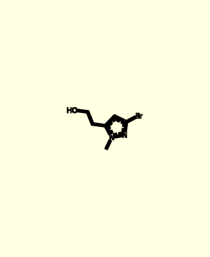 Cn1nc(Br)cc1CCO